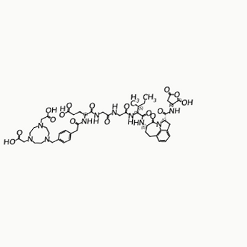 CC[C@H](C)[C@H](NC(=O)CNC(=O)CNC(=O)[C@H](CCC(=O)O)NC(=O)Cc1ccc(CN2CCN(CC(=O)O)CCN(CC(=O)O)CC2)cc1)C(=O)N[C@H]1CCc2cccc3c2N(C1=O)[C@H](C(=O)N[C@@H]1CC(=O)O[C@H]1O)C3